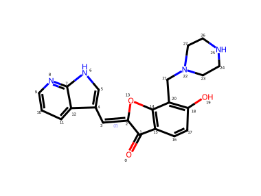 O=C1/C(=C/c2c[nH]c3ncccc23)Oc2c1ccc(O)c2CN1CCNCC1